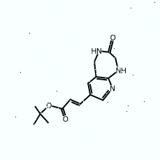 CC(C)(C)OC(=O)C=Cc1cnc2c(c1)CNC(=O)CN2